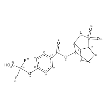 O=C(OC1C2CC3C1OS(=O)(=O)C3C2)c1ccc(OC(F)(F)C(=O)O)cc1